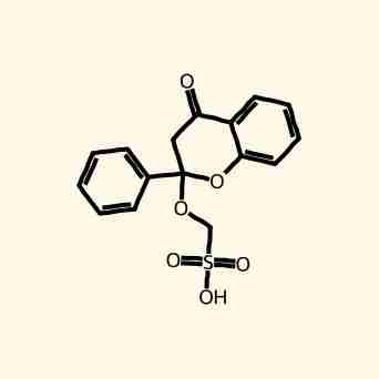 O=C1CC(OCS(=O)(=O)O)(c2ccccc2)Oc2ccccc21